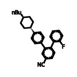 CCCC[C@H]1CC[C@H](c2ccc(-c3cc(C#N)ccc3-c3ccccc3F)cc2)CC1